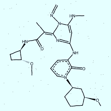 C=NN1C(NC)=CC(Nc2cccn([C@@H]3CCC[C@H](OC)C3)c2=O)=N/C1=C(/C)C(=O)N[C@@H]1CC[C@H]1OC